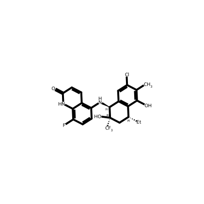 CC[C@@H]1C[C@](O)(C(F)(F)F)[C@@H](Nc2ccc(F)c3[nH]c(=O)ccc23)c2cc(Cl)c(C)c(O)c21